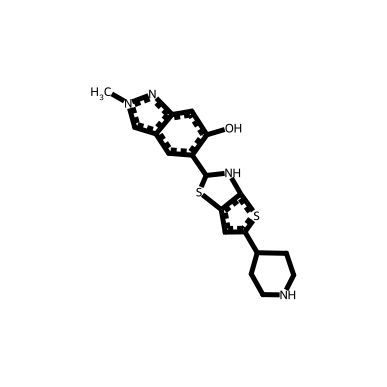 Cn1cc2cc(C3Nc4sc(C5CCNCC5)cc4S3)c(O)cc2n1